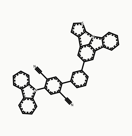 N#Cc1cc(-n2c3ccccc3c3ccccc32)c(C#N)cc1-c1cccc(-c2cc3c4ccccc4n4c5sccc5c(c2)c34)c1